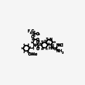 COc1ccccc1CN(CC(=O)OC(=O)C(F)(F)F)S(=O)(=O)c1ccc2c(NC(N)=NCl)cncc2c1